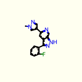 Cn1cc(-c2cc3c(-c4ccccc4F)n[nH]c3cn2)cn1